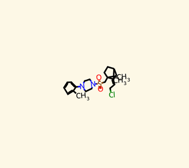 Cc1ccccc1N1CCN(S(=O)(=O)CC23CCC(CC2=CCCl)C3(C)C)CC1